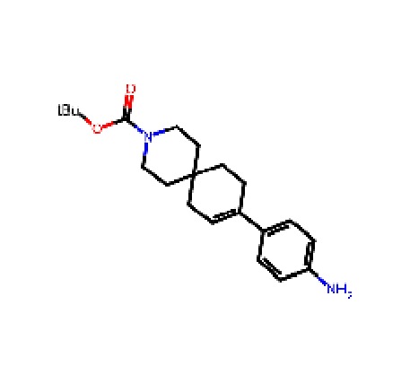 CC(C)(C)OC(=O)N1CCC2(CC=C(c3ccc(N)cc3)CC2)CC1